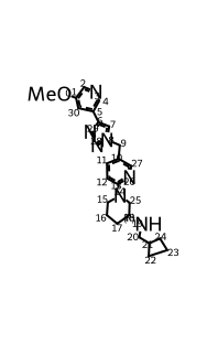 COc1cncc(-c2cn(Cc3ccc(N4CCC[C@@H](NCC5CCC5)C4)nc3)nn2)c1